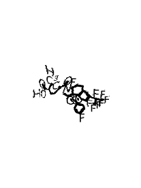 C[C@@H]1CC(C(=O)N2CC[C@@]3(S(=O)(=O)c4ccc(F)cc4)c4ccc(C(F)(C(F)(F)F)C(F)(F)F)cc4CC[C@@]23F)CC[C@H]1C(=O)O